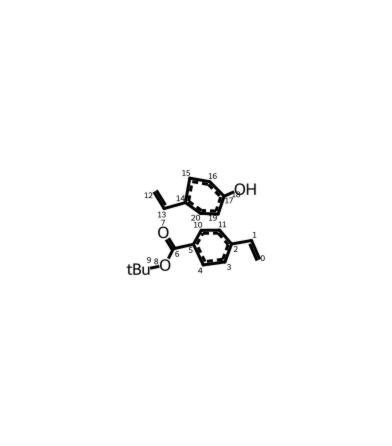 C=Cc1ccc(C(=O)OC(C)(C)C)cc1.C=Cc1ccc(O)cc1